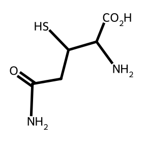 NC(=O)CC(S)C(N)C(=O)O